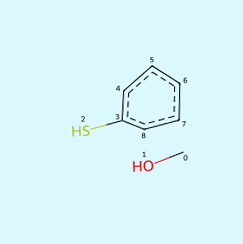 CO.Sc1ccccc1